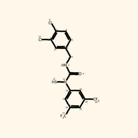 O=C(NCc1ccc(Cl)c(Cl)c1)N(S)c1cc(C(F)(F)F)cc(C(F)(F)F)c1